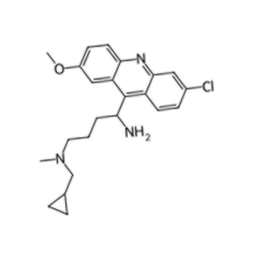 COc1ccc2nc3cc(Cl)ccc3c(C(N)CCCN(C)CC3CC3)c2c1